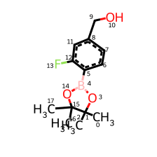 CC1(C)OB(c2ccc(CO)cc2F)OC1(C)C